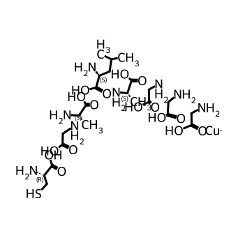 CC(C)C[C@H](N)C(=O)O.C[C@H](N)C(=O)O.C[C@H](N)C(=O)O.NCC(=O)O.NCC(=O)O.NCC(=O)O.NCC(=O)O.N[C@@H](CS)C(=O)O.[Cu]